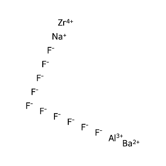 [Al+3].[Ba+2].[F-].[F-].[F-].[F-].[F-].[F-].[F-].[F-].[F-].[F-].[Na+].[Zr+4]